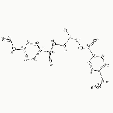 [CH2]C[C](OOC(=O)c1ccc(OCCCCCC)cc1)OOC(=O)c1ccc(OCCCCCC)cc1